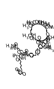 CO[C@H]1/C=C/O[C@@]2(C)Oc3c(C)c(O)c4c(=O)c(c5oc6cc(N7CCN(Cc8ccc(NC(=O)[C@H](CCCNC(N)=O)NC(=O)C(NC(=O)CCCCCN9C(=O)C=CC9=O)C(C)C)cc8)CC7)cc(O)c6nc-5c4c3C2=O)NC(=O)/C(C)=C\C=C\[C@H](C)[C@H](O)[C@@H](C)[C@@H](O)[C@@H](C)[C@H](OC(C)=O)[C@@H]1C